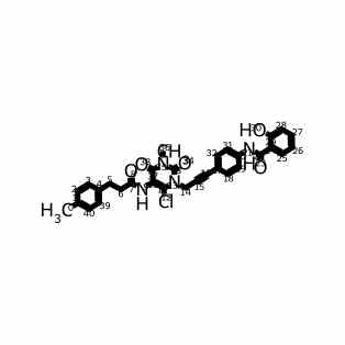 Cc1ccc(CCC(=O)Nc2c(Cl)n(CC#Cc3ccc(NC(=O)c4ccccc4O)cc3)c(=O)n(C)c2=O)cc1